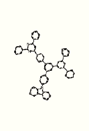 c1ccc(-c2cc(-c3ccccc3)cc(-c3cc(-c4ccc(-c5cc(-c6ccccc6)nc(-c6ccccc6)n5)cc4)cc(-c4ccc(-n5c6ccccc6c6ccccc65)cc4)c3)c2)cc1